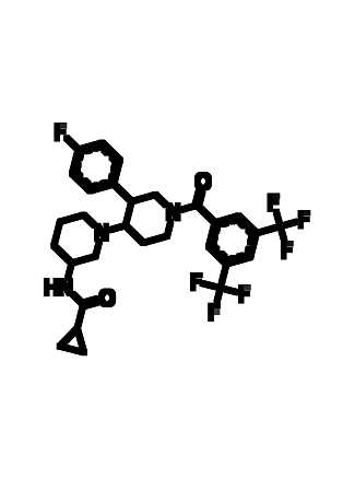 O=C(NC1CCCN(C2CCN(C(=O)c3cc(C(F)(F)F)cc(C(F)(F)F)c3)CC2c2ccc(F)cc2)C1)C1CC1